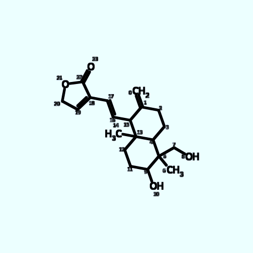 C=C1CCC2C(C)(CO)C(O)CCC2(C)C1C=CC1=CCOC1=O